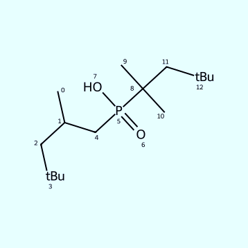 CC(CC(C)(C)C)CP(=O)(O)C(C)(C)CC(C)(C)C